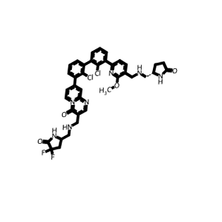 COc1nc(-c2cccc(-c3cccc(-c4ccn5c(=O)c(CNCC6CC(F)(F)C(=O)N6)cnc5c4)c3Cl)c2Cl)ccc1CNC[C@@H]1CCC(=O)N1